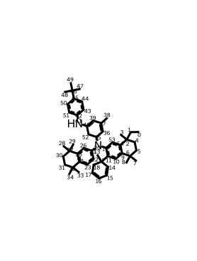 CCC1(C)CCC(C)(C)c2cc(C3(C)C=CC=CC3)c(N(c3ccc4c(c3)C(C)(C)CCC4(C)C)C3C=C(C)C=C(Nc4ccc(C(C)(C)C)cc4)C3)cc21